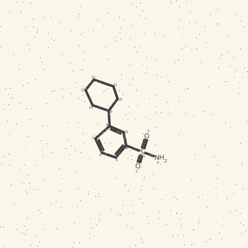 NS(=O)(=O)c1cccc(C2CCCCC2)c1